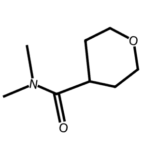 CN(C)C(=O)C1CCOCC1